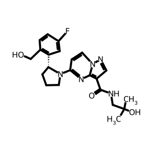 CC(C)(O)CNC(=O)c1cnn2ccc(N3CCC[C@@H]3c3cc(F)ccc3CO)nc12